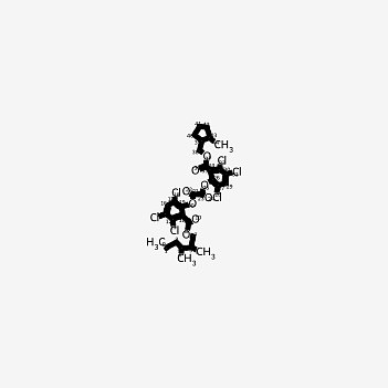 CCCC(C)C(C)COC(=O)c1c(Cl)c(Cl)cc(Cl)c1OC(=O)C(=O)Oc1c(Cl)cc(Cl)c(Cl)c1C(=O)OCC1CCCC1C